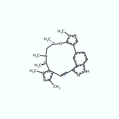 Cc1nn(C)c2c1/C=C/c1n[nH]c3ccc(cc13)-c1cnn(C)c1O[C@@H](C)CN(C)[C@@H]2C